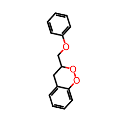 c1ccc(OCC2Cc3ccccc3OO2)cc1